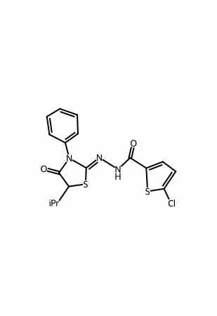 CC(C)C1SC(=NNC(=O)c2ccc(Cl)s2)N(c2ccccc2)C1=O